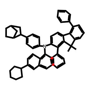 CC1(C)c2cccc(-c3ccccc3)c2-c2ccc(N(c3ccc(C4CC5CCC4C5)cc3)c3cccc4cc(C5CCCCC5)ccc34)c(-c3ccccc3)c21